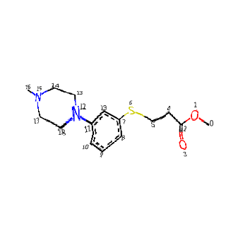 COC(=O)CCSc1cccc(N2CCN(C)CC2)c1